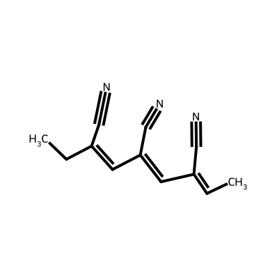 C/C=C(C#N)/C=C(C#N)/C=C(\C#N)CC